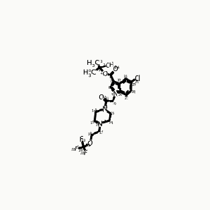 CC(C)(C)OC(=O)c1cn(CC(=O)N2CCN(CCOC(F)(F)F)CC2)c2ccc(Cl)cc12